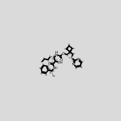 CCCC[C@H](NC(=O)OCC1(CSc2ncccn2)CCC1)C(O)C(=O)N[C@H](C)c1ccccc1